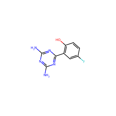 Nc1nc(N)nc(-c2cc(F)ccc2O)n1